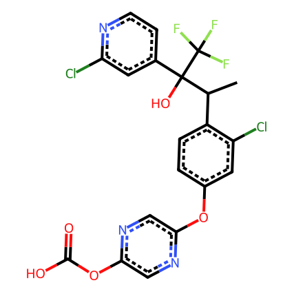 CC(c1ccc(Oc2cnc(OC(=O)O)cn2)cc1Cl)C(O)(c1ccnc(Cl)c1)C(F)(F)F